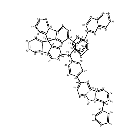 c1ccc(-c2ccc3c(c2)C2(c4ccccc4-3)c3ccccc3-c3ccc(N(c4ccc(-c5ccc6ccccc6c5)cc4)c4ccc(-c5ccc6oc7c(-c8ccccc8)cccc7c6c5)cc4)cc32)cc1